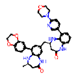 C[C@@H]1CC(=O)Nc2cc(C[C@@H]3CC(=O)Nc4cccc(-c5ccc(N6CCOCC6)nc5)c4N3)cc(-c3ccc4c(c3)OCCO4)c2N1